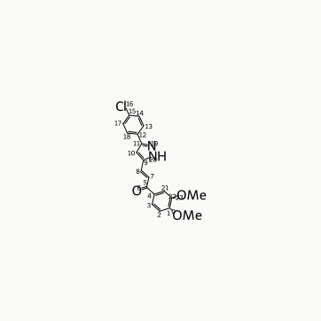 COc1ccc(C(=O)C=Cc2cc(-c3ccc(Cl)cc3)n[nH]2)cc1OC